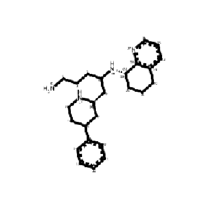 NCCCC(C[C@H]1CC(c2ccccc2)CCN1)N[C@H]1CCCc2cccnc21